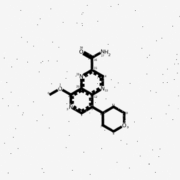 COc1ncc(C2CCOCC2)c2ncc(C(N)=O)nc12